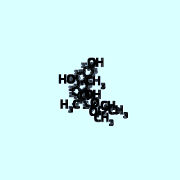 CCCC(C)(CC)OC(=O)CCC(C)C1CCC2C3C(C[C@H](O)C12C)C1(C)CC[C@@H](O)CC1C[C@H]3O